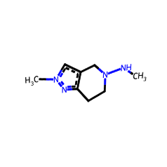 CNN1CCc2nn(C)cc2C1